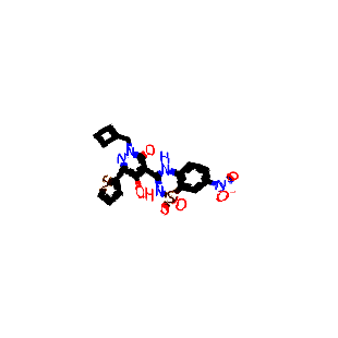 O=c1c(C2=NS(=O)(=O)c3cc([N+](=O)[O-])ccc3N2)c(O)c(-c2cccs2)nn1CC1CCC1